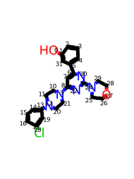 Oc1cccc(-c2cc(N3CCN(c4cccc(Cl)c4)CC3)nc(N3CCOCC3)n2)c1